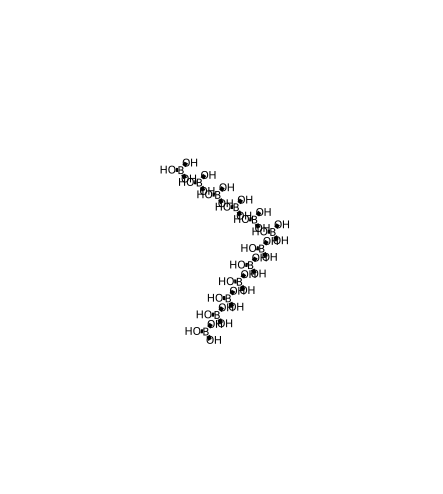 OB(O)O.OB(O)O.OB(O)O.OB(O)O.OB(O)O.OB(O)O.OB(O)O.OB(O)O.OB(O)O.OB(O)O.OB(O)O.OB(O)O